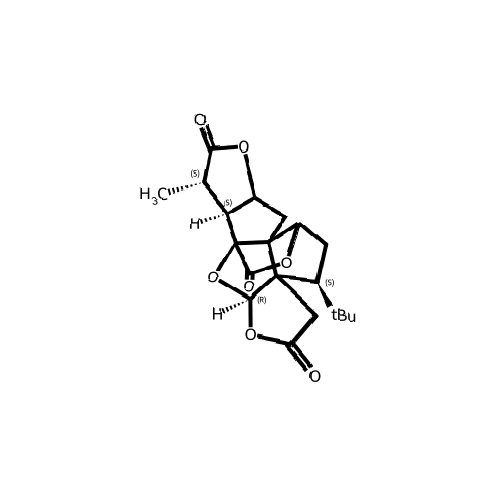 C[C@@H]1C(=O)OC2CC34C5C[C@@H](C(C)(C)C)C36CC(=O)O[C@H]6OC4(C(=O)O5)[C@H]21